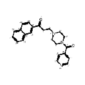 O=C(CCN1CCN(C(=S)c2ccncc2)CC1)c1ccc2ccccc2c1